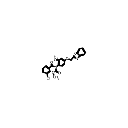 COC(=O)N(C(=O)c1cccc(Cl)c1)c1ccc(OCc2nc3ccccc3s2)cc1C